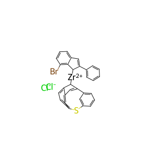 Brc1cccc2c1[CH]([Zr+2][CH]1c3cc4cc(ccc41)sc1cccc3c1)C(c1ccccc1)=C2.[Cl-].[Cl-]